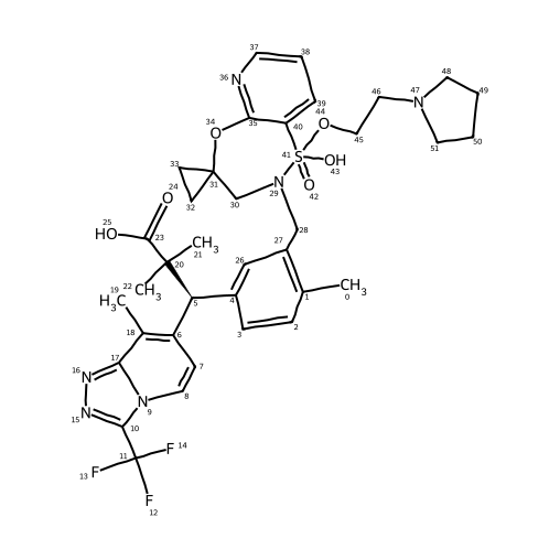 Cc1ccc([C@@H](c2ccn3c(C(F)(F)F)nnc3c2C)C(C)(C)C(=O)O)cc1CN1CC2(CC2)Oc2ncccc2S1(=O)(O)OCCN1CCCC1